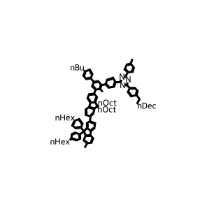 CCCCCCCCCCCCc1ccc(-c2nc(-c3ccc(C)cc3)nc(-c3ccc(-c4cc(-c5ccc(CCCC)cc5)cc(-c5ccc6c(c5)C(CCCCCCCC)(CCCCCCCC)c5cc(-c7ccc8c(c7)C(c7ccc(CCCCCC)cc7)(c7ccc(CCCCCC)cc7)c7cc(C)ccc7-8)ccc5-6)c4C)cc3)n2)cc1